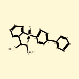 O=C(O)CC(C(=O)O)c1ccccc1S(=O)(=O)c1ccc(-c2ccccc2)cc1